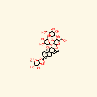 C=C1C[C@@]23CC[C@H]4[C@@](C)(CCC[C@@]4(C)C(=O)O[C@@H]4O[C@H](CO)[C@@H](O)[C@H](O)[C@@H]4O)[C@@H]2CC[C@]1(O[C@@H]1O[C@H](CO)[C@@H](O)[C@H](O[C@@H]2O[C@H](CO)[C@@H](O)[C@H](O)[C@H]2O)[C@H]1O[C@@H]1O[C@H](CO)[C@@H](O)[C@H](O)[C@H]1O)C3